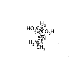 C[C@@H](N)Cc1ncc(CC(C)(C(=O)O)C(=O)O)s1